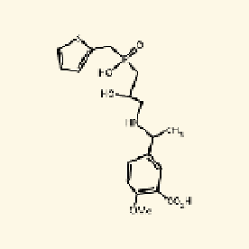 COc1ccc(C(C)NC[C@@H](O)CP(=O)(O)Cc2cccs2)cc1C(=O)O